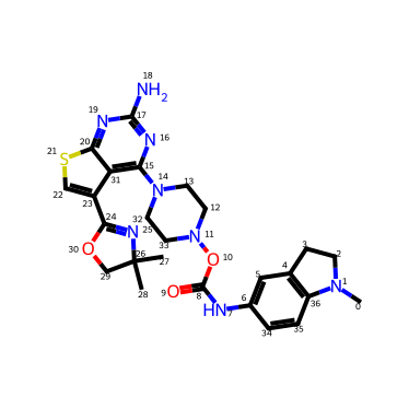 CN1CCc2cc(NC(=O)ON3CCN(c4nc(N)nc5scc(C6=NC(C)(C)CO6)c45)CC3)ccc21